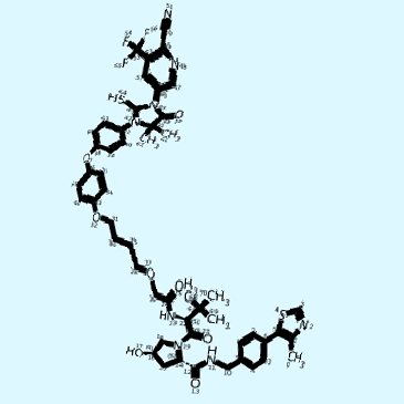 Cc1ncsc1-c1ccc(CNC(=O)[C@@H]2C[C@@H](O)CN2C(=O)[C@@H](NC(=O)COCCCCOc2ccc(Oc3ccc(N4C(S)N(c5cnc(C#N)c(C(F)(F)F)c5)C(=O)C4(C)C)cc3)cc2)C(C)(C)C)cc1